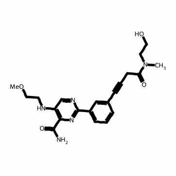 COCCNc1cnc(-c2cccc(C#CCC(=O)N(C)CCO)c2)nc1C(N)=O